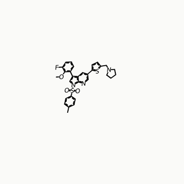 COc1c(F)cccc1-c1cn(S(=O)(=O)c2ccc(C)cc2)c2ncc(-c3ccc(CN4CCCC4)s3)cc12